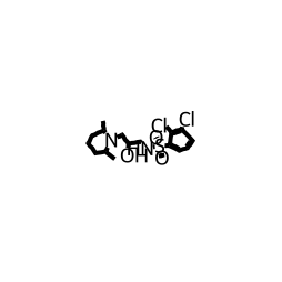 CC1CCCC(C)N1CC(O)CNS(=O)(=O)c1cccc(Cl)c1Cl